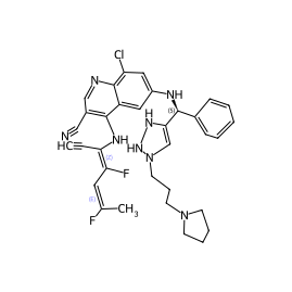 C#C/C(Nc1c(C#N)cnc2c(Cl)cc(N[C@H](C3=CN(CCCN4CCCC4)NN3)c3ccccc3)cc12)=C(F)\C=C(/C)F